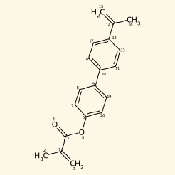 C=C(C)C(=O)Oc1ccc(-c2ccc(C(=C)C)cc2)cc1